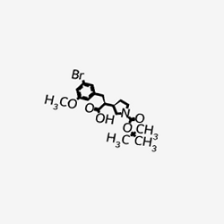 COc1cc(Br)cc(C[C@H](C(=O)O)[C@H]2CCN(C(=O)OC(C)(C)C)C2)c1